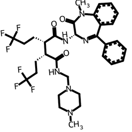 CN1CCN(CNC(=O)[C@H](CCC(F)(F)F)[C@H](CCC(F)(F)F)C(=O)N[C@H]2N=C(c3ccccc3)c3ccccc3N(C)C2=O)CC1